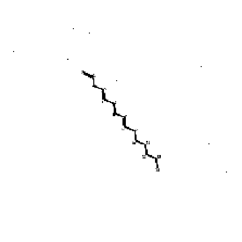 C=CCC=CCCC=CCCCCCC